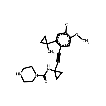 COc1cc(C#CC2(NC(=O)N3CCNCC3)CC2)c(C2(C)CC2)cc1Cl